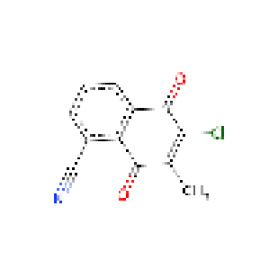 CC1=C(Cl)C(=O)c2cccc(C#N)c2C1=O